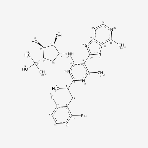 Cc1nc(N(C)Cc2c(F)cccc2F)nc(N[C@@H]2C[C@H](C(C)(C)O)[C@@H](O)[C@H]2O)c1-c1nc2c(C)nccc2s1